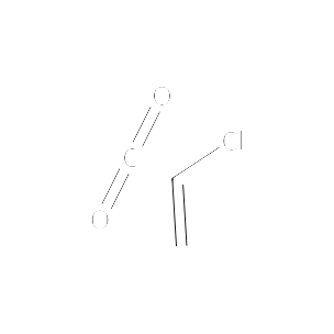 C=CCl.O=C=O